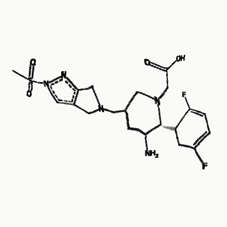 CS(=O)(=O)n1cc2c(n1)CN(C1CC(N)[C@@H](C3CC(F)=CC=C3F)N(CC(=O)O)C1)C2